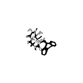 CC[C@H](C)[C@](C(=O)O)([C@@H](C)OC)N(C)[C@H](C(=O)NC(=O)C(C)(C)N(C)C(=O)OCC1c2ccccc2-c2ccccc21)C(C)C